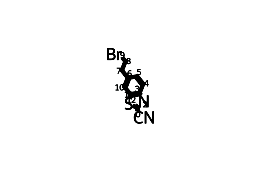 N#Cc1nc2ccc(CCBr)cc2s1